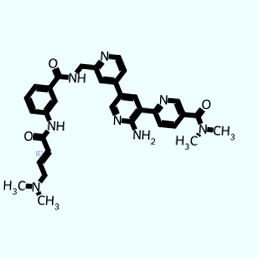 CN(C)C/C=C/C(=O)Nc1cccc(C(=O)NCc2cc(-c3cnc(N)c(-c4ccc(C(=O)N(C)C)cn4)c3)ccn2)c1